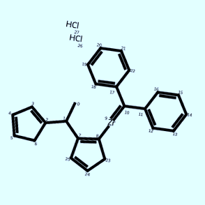 CC(C1=CC=CC1)C1=[C]([Zr]=[C](c2ccccc2)c2ccccc2)CC=C1.Cl.Cl